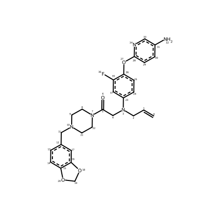 C=CCN(CC(=O)N1CCN(Cc2ccc3c(c2)OCO3)CC1)c1ccc(Oc2ccc(N)cn2)c(F)c1